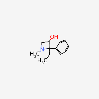 CCC1(c2ccccc2)C(O)CN1C